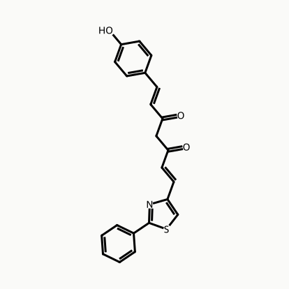 O=C(C=Cc1ccc(O)cc1)CC(=O)C=Cc1csc(-c2ccccc2)n1